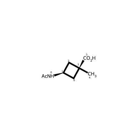 CC(=O)N[C@H]1C[C@@](C)(C(=O)O)C1